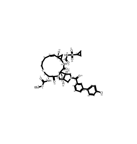 CC(C)(C)OC(=O)N[C@@H]1CCCCC/C=C\[C@@H]2C[C@@]2(C(=O)NS(=O)(=O)C2CC2)NC(=O)[C@@H]2[C@H]3CN(C(=O)c4cccc(-c5ccc(Cl)cc5)c4)C[C@H]3CN2C1=O